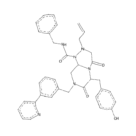 C=CCN1CC(=O)N2C(Cc3ccc(O)cc3)C(=O)N(Cc3cccc(-c4ccccn4)c3)CC2N1C(=O)NCc1ccccc1